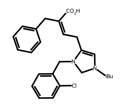 CCC(C)N1C=C(CC=C(Cc2ccccc2)C(=O)O)N(Cc2ccccc2Cl)C1